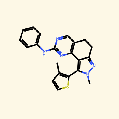 Cc1ccsc1-c1c2c(nn1C)CCc1cnc(Nc3ccccc3)nc1-2